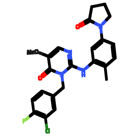 COc1cnc(Nc2cc(N3CCCC3=O)ccc2C)n(Cc2ccc(F)c(Cl)c2)c1=O